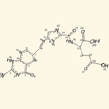 Nc1nc(=O)c2nc(/C=N/c3cnc(C(=O)NC(CCC(=O)O)C(=O)O)[nH]3)cnc2[nH]1